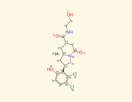 O=C(NCCO)C1CC(=O)N2C[C@@H](c3c(O)ccc(Cl)c3Cl)C[C@H]2C1